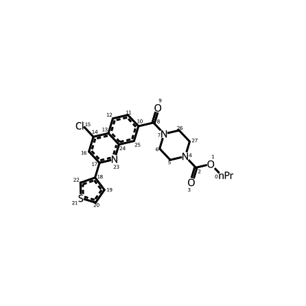 CCCOC(=O)N1CCN(C(=O)c2ccc3c(Cl)cc(-c4ccsc4)nc3c2)CC1